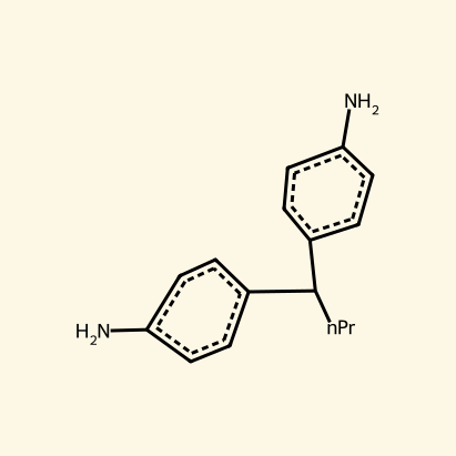 CCCC(c1ccc(N)cc1)c1ccc(N)cc1